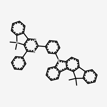 CC1(C)c2ccccc2-c2ccc3c(c21)c1ccccc1n3-c1cccc(-c2nc(-c3ccccc3)c3c(n2)-c2ccccc2[Si]3(C)C)c1